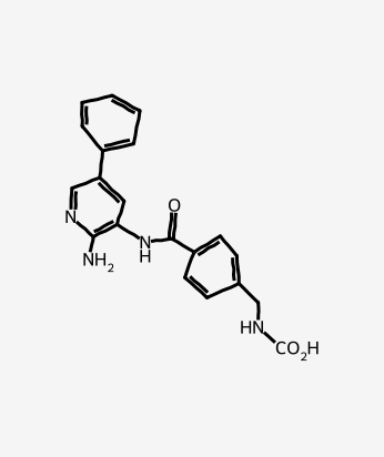 Nc1ncc(-c2ccccc2)cc1NC(=O)c1ccc(CNC(=O)O)cc1